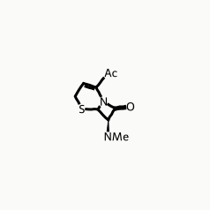 CN[C@@H]1C(=O)N2C(C(C)=O)=CCSC12